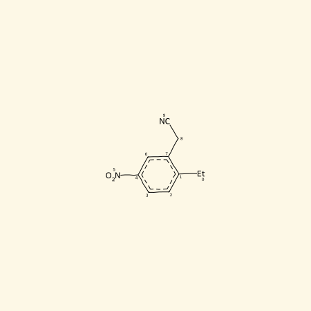 CCc1ccc([N+](=O)[O-])cc1CC#N